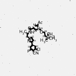 CC(=O)c1nc(C(=O)N[C@@H](C)Cn2ccc(-c3cc(F)c(C#N)c(Cl)c3)n2)cn1COCC[Si](C)(C)C